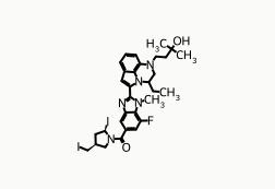 CCC1CN(CCC(C)(C)O)c2cccc3cc(-c4nc5cc(C(=O)N6C[C@@H](CI)C[C@H]6I)cc(F)c5n4C)n1c23